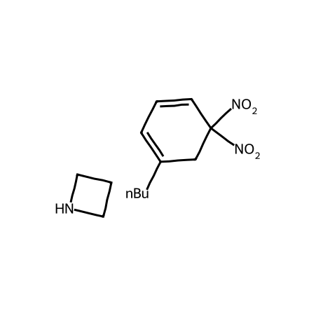 C1CNC1.CCCCC1=CC=CC([N+](=O)[O-])([N+](=O)[O-])C1